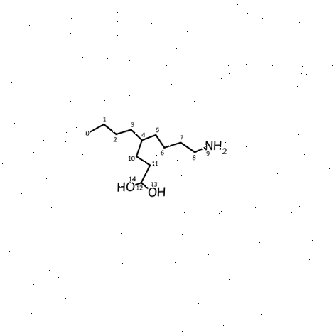 CCCCC(CCCCN)CCC(O)O